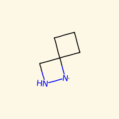 C1CC2(C1)CN[N]2